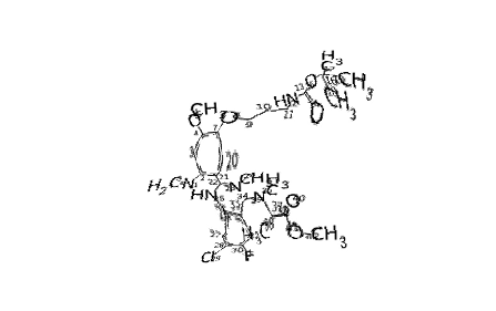 C=Nc1cc(OC)c(OCCCNC(=O)OC(C)(C)C)cc1/C(=N\C)Nc1cc(Cl)c(F)cc1CN(C)[C@@H](C)C(=O)OC